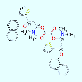 CN(C)[C@H](C[C@H](Oc1cccc2ccccc12)c1cccs1)OC(=O)C(=O)O[C@@H](C[C@H](Oc1cccc2ccccc12)c1cccs1)N(C)C